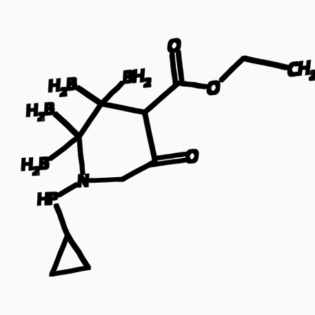 BC1(B)C(C(=O)OCC)C(=O)CN(PC2CC2)C1(B)B